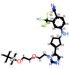 CC(C)(C)[Si](C)(C)OCCOCCn1cncc1C1=CCC(Nc2ccc(C#N)c(C(F)(F)F)c2)C1